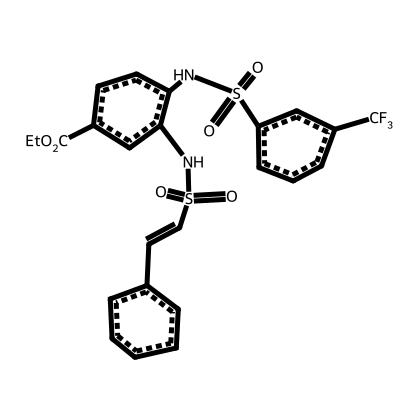 CCOC(=O)c1ccc(NS(=O)(=O)c2cccc(C(F)(F)F)c2)c(NS(=O)(=O)C=Cc2ccccc2)c1